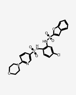 O=S(=O)(Nc1ccc(Cl)cc1NS(=O)(=O)c1cc2ccccc2o1)c1ccc(N2CCOCC2)nc1